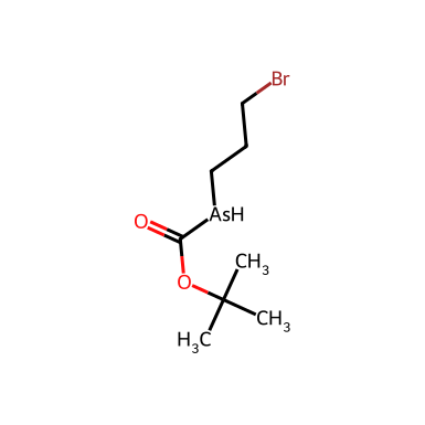 CC(C)(C)OC(=O)[AsH]CCCBr